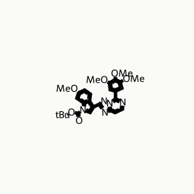 COc1ccc2c(-c3nc4ccnc(-c5cc(OC)c(OC)c(OC)c5)n4n3)cn(C(=O)OC(C)(C)C)c2c1